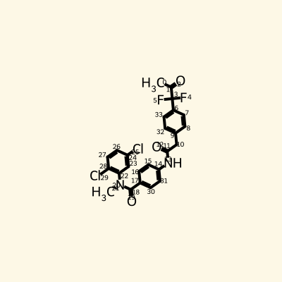 CC(=O)C(F)(F)c1ccc(CC(=O)Nc2ccc(C(=O)N(C)c3cc(Cl)ccc3Cl)cc2)cc1